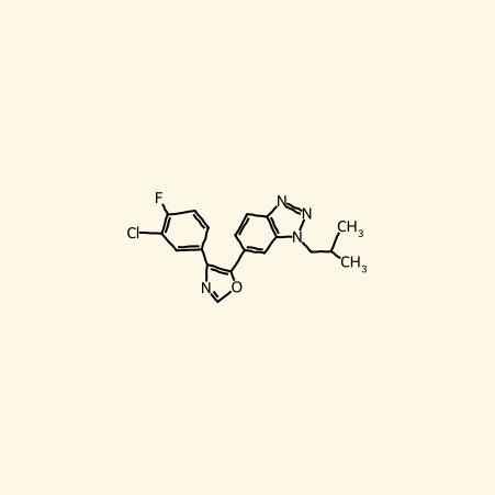 CC(C)Cn1nnc2ccc(-c3ocnc3-c3ccc(F)c(Cl)c3)cc21